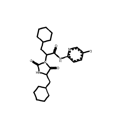 O=C(Nc1ccc(Cl)cn1)C(CC1CCCCC1)N1C(=O)NC(CC2CCCCC2)C1=O